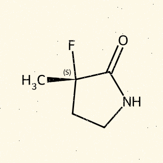 C[C@]1(F)CCNC1=O